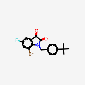 CC(C)(C)c1ccc(CN2C(=O)C(=O)c3cc(F)cc(Br)c32)cc1